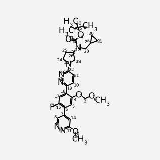 COCOc1cc(-c2cnnc(OC)c2)c(F)cc1-c1ccc(N2CC[C@@H](N(CC3CC3)C(=O)OC(C)(C)C)C2)nn1